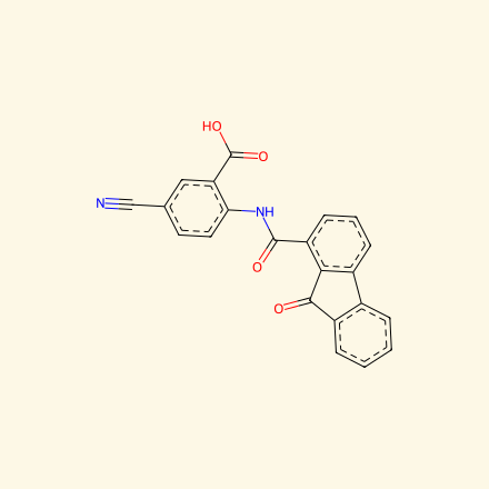 N#Cc1ccc(NC(=O)c2cccc3c2C(=O)c2ccccc2-3)c(C(=O)O)c1